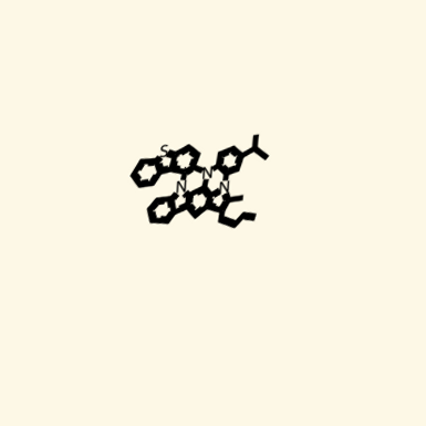 C=C/C=C\c1c(C)n2c3c4c5c(cc13)c1ccccc1n5-c1c(ccc3sc5ccccc5c13)N4c1ccc(C(C)C)cc1-2